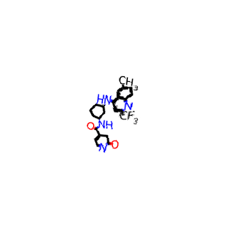 Cc1ccc2nc(C(F)(F)F)cc(N[C@H]3CCC[C@@H](NC(=O)C4=CC=NC(=O)C4)C3)c2c1